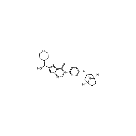 CN1[C@@H]2CC[C@H]1C[C@H](Oc1ccc(-n3cnc4cc(C(O)C5CCOCC5)sc4c3=O)cc1)C2